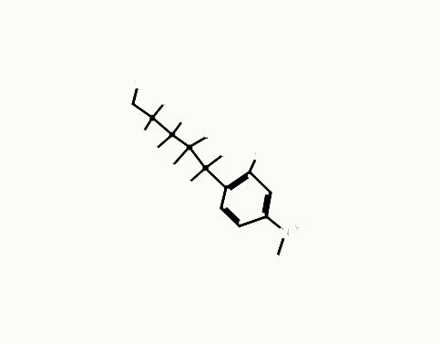 O=[N+]([O-])c1ccc(C(F)(F)C(F)(F)C(F)(F)C(F)(F)CO)c(Cl)c1